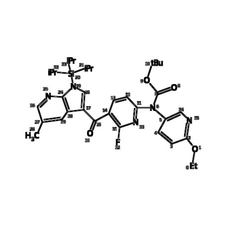 CCOc1ccc(N(C(=O)OC(C)(C)C)c2ccc(C(=O)c3cn([Si](C(C)C)(C(C)C)C(C)C)c4ncc(C)cc34)c(F)n2)cn1